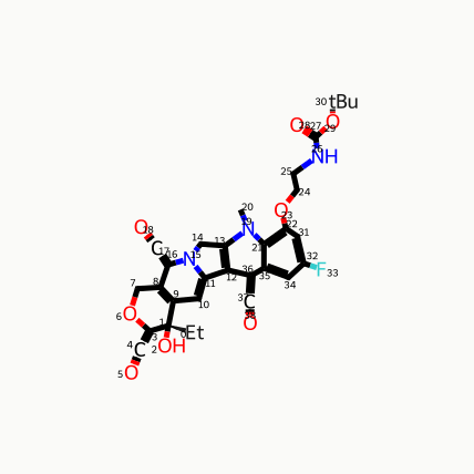 CC[C@@]1(O)C(=C=O)OCC2=C1C=C1C3=C(CN1C2=C=O)N(C)c1c(OCCNC(=O)OC(C)(C)C)cc(F)cc1C3=C=O